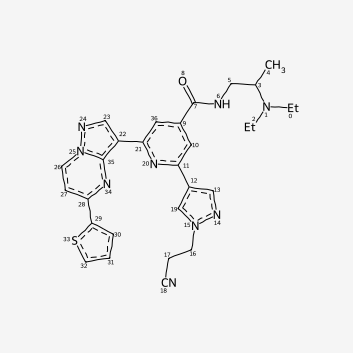 CCN(CC)C(C)CNC(=O)c1cc(-c2cnn(CCC#N)c2)nc(-c2cnn3ccc(-c4cccs4)nc23)c1